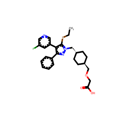 CCSc1c(-c2cncc(F)c2)c(-c2ccccc2)nn1C[C@H]1CC[C@H](COCC(=O)O)CC1